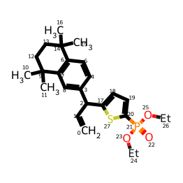 C=CC(c1ccc2c(c1)C(C)(C)CCC2(C)C)c1ccc(P(=O)(OCC)OCC)s1